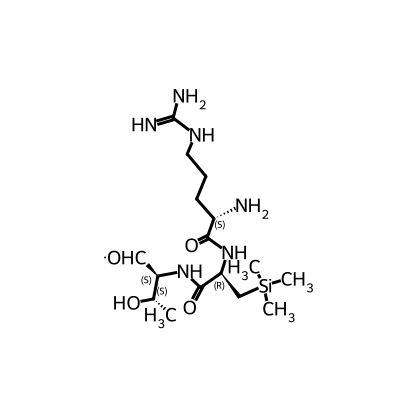 C[C@H](O)[C@@H]([C]=O)NC(=O)[C@H](C[Si](C)(C)C)NC(=O)[C@@H](N)CCCNC(=N)N